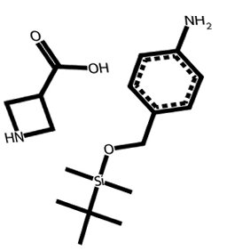 CC(C)(C)[Si](C)(C)OCc1ccc(N)cc1.O=C(O)C1CNC1